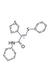 O=C(Nc1ccccc1)/C(=C/Sc1ccccc1)c1ccsc1